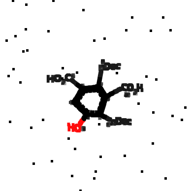 CCCCCCCCCCc1c(O)cc(C(=O)O)c(CCCCCCCCCC)c1C(=O)O